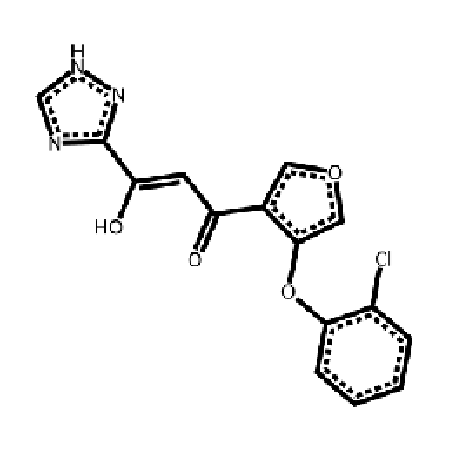 O=C(C=C(O)c1nc[nH]n1)c1cocc1Oc1ccccc1Cl